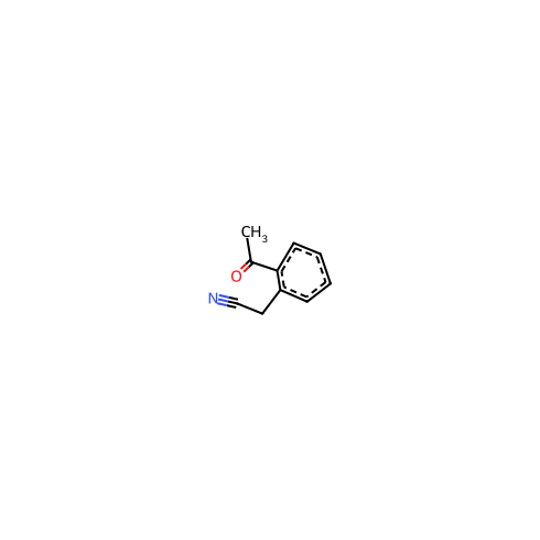 CC(=O)c1ccccc1CC#N